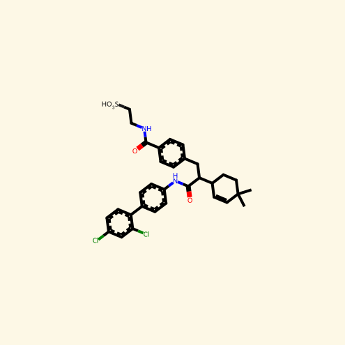 CC1(C)C=CC(C(Cc2ccc(C(=O)NCCS(=O)(=O)O)cc2)C(=O)Nc2ccc(-c3ccc(Cl)cc3Cl)cc2)CC1